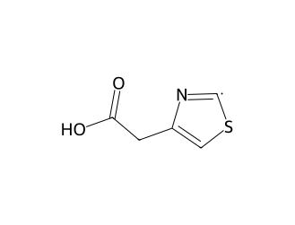 O=C(O)Cc1cs[c]n1